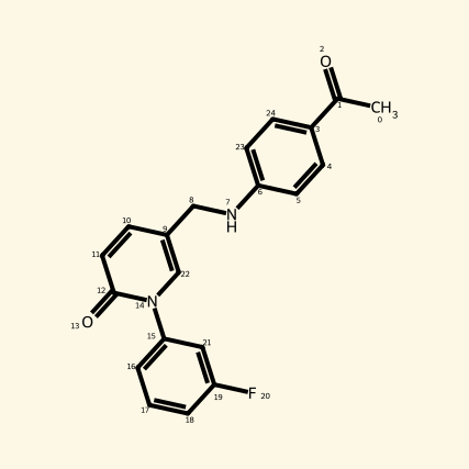 CC(=O)c1ccc(NCc2ccc(=O)n(-c3cccc(F)c3)c2)cc1